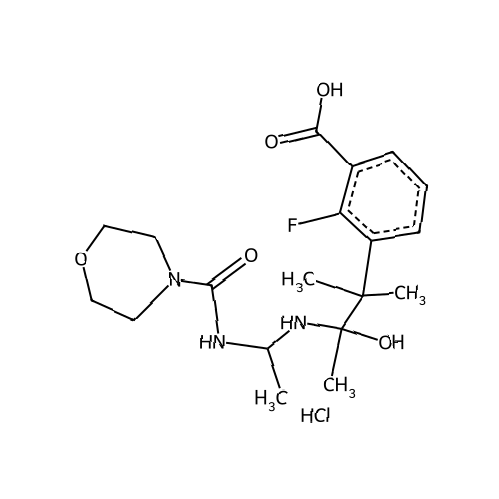 CC(NC(=O)N1CCOCC1)NC(C)(O)C(C)(C)c1cccc(C(=O)O)c1F.Cl